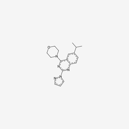 CC(C)c1ccc2nc(-n3cccn3)nc(N3CCOCC3)c2c1